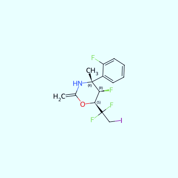 C=C1N[C@](C)(c2ccccc2F)[C@@H](F)[C@@H](C(F)(F)CI)O1